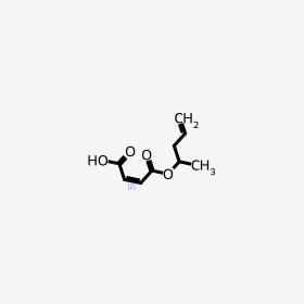 C=CCC(C)OC(=O)/C=C\C(=O)O